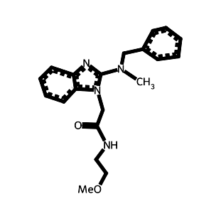 COCCNC(=O)Cn1c(N(C)Cc2ccccc2)nc2ccccc21